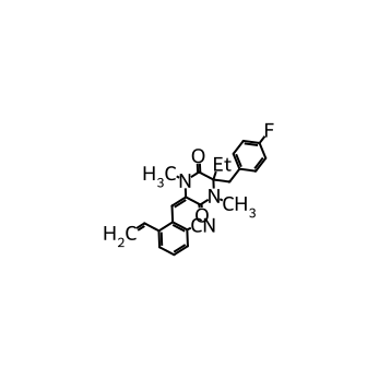 C=Cc1cccc(C#N)c1C=C1C(=O)N(C)C(CC)(Cc2ccc(F)cc2)C(=O)N1C